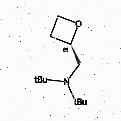 CC(C)(C)N(C[C@@H]1CCO1)C(C)(C)C